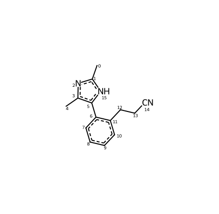 Cc1nc(C)c(-c2ccccc2CCC#N)[nH]1